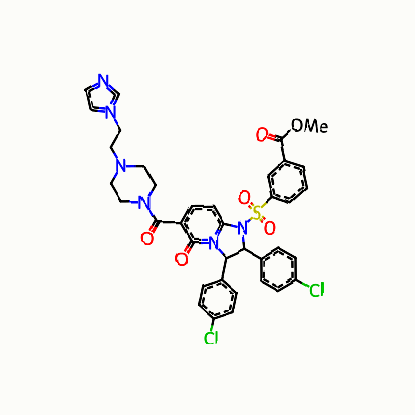 COC(=O)c1cccc(S(=O)(=O)N2c3ccc(C(=O)N4CCN(CCn5ccnc5)CC4)c(=O)n3C(c3ccc(Cl)cc3)C2c2ccc(Cl)cc2)c1